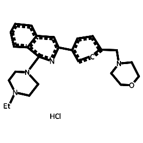 CCN1CCN(c2nc(-c3ccc(CN4CCOCC4)cc3)cc3ccccc23)CC1.Cl